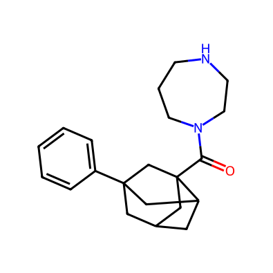 O=C(N1CCCNCC1)C12CC3CC1CC(c1ccccc1)(C3)C2